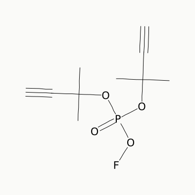 C#CC(C)(C)OP(=O)(OF)OC(C)(C)C#C